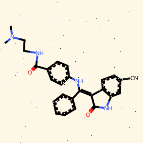 CN(C)CCNC(=O)c1ccc(NC(=C2C(=O)Nc3cc(C#N)ccc32)c2ccccc2)cc1